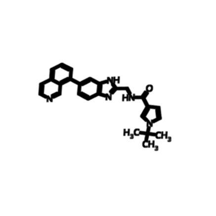 CC(C)(C)n1ccc(C(=O)NCc2nc3ccc(-c4cccc5ccncc45)cc3[nH]2)c1